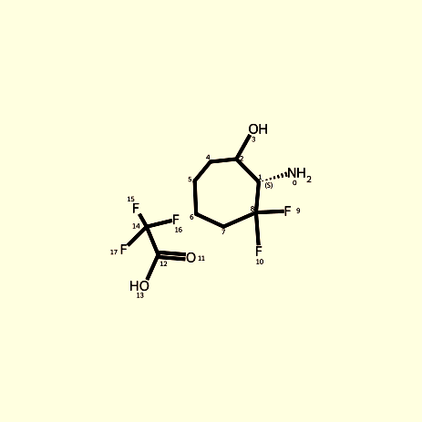 N[C@H]1C(O)CCCCC1(F)F.O=C(O)C(F)(F)F